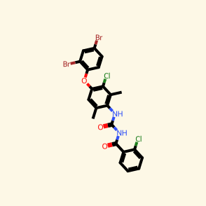 Cc1cc(Oc2ccc(Br)cc2Br)c(Cl)c(C)c1NC(=O)NC(=O)c1ccccc1Cl